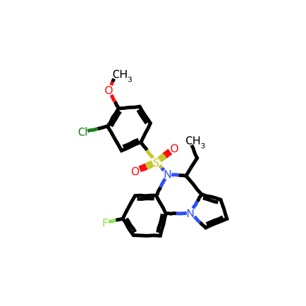 CCC1c2cccn2-c2ccc(F)cc2N1S(=O)(=O)c1ccc(OC)c(Cl)c1